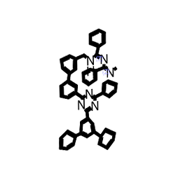 C/N=C(\N=C(/NCc1cccc(-c2cccc(-c3nc(-c4ccccc4)nc(-c4cc(-c5ccccc5)cc(-c5ccccc5)c4)n3)c2)c1)c1ccccc1)c1ccccc1